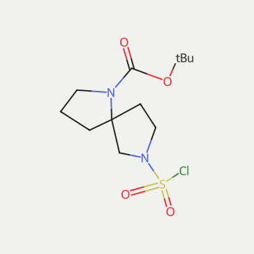 CC(C)(C)OC(=O)N1CCCC12CCN(S(=O)(=O)Cl)C2